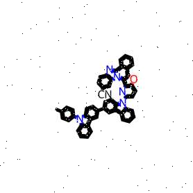 Cc1ccc(-n2c3ccccc3c3cc(-c4ccc5c(c4)c4ccccc4n5-c4ccc5oc6c7ccccc7c7nc8ccc(C#N)cc8n7c6c5n4)ccc32)cc1